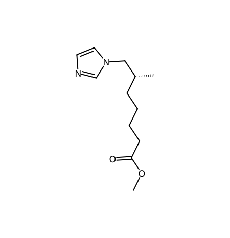 COC(=O)CCCC[C@@H](C)Cn1ccnc1